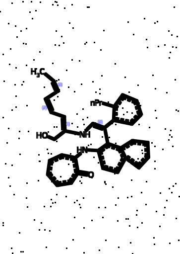 C\C=C/C=C\C=C(/CO)N/C=C(/c1ccccc1CCC)c1c(Nc2cccccc2=O)ccc2ccccc12